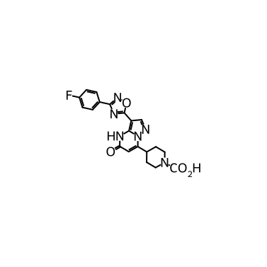 O=C(O)N1CCC(c2cc(=O)[nH]c3c(-c4nc(-c5ccc(F)cc5)no4)cnn23)CC1